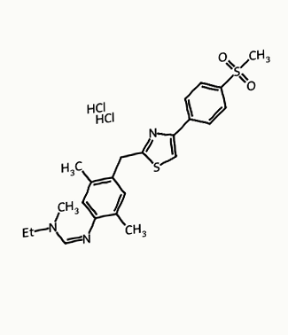 CCN(C)/C=N\c1cc(C)c(Cc2nc(-c3ccc(S(C)(=O)=O)cc3)cs2)cc1C.Cl.Cl